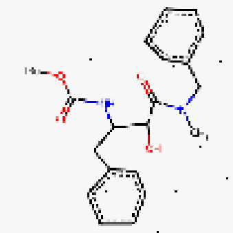 CN(Cc1ccccc1)C(=O)C(O)C(Cc1ccccc1)NC(=O)OC(C)(C)C